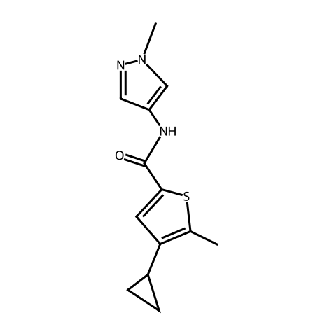 Cc1sc(C(=O)Nc2cnn(C)c2)cc1C1CC1